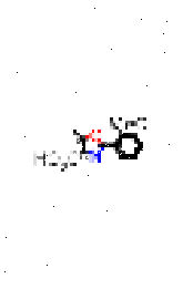 COc1ccccc1C1=N[C@@H](C(=O)O)[C@@H](C)O1